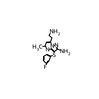 Cc1cc(CCN)n2nc(N)c(Sc3cccc(F)c3)c2n1